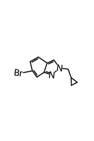 Brc1ccc2cn(CC3CC3)nc2c1